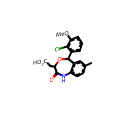 COc1cccc(C2OC(CC(=O)O)C(=O)Nc3ccc(C)cc32)c1Cl